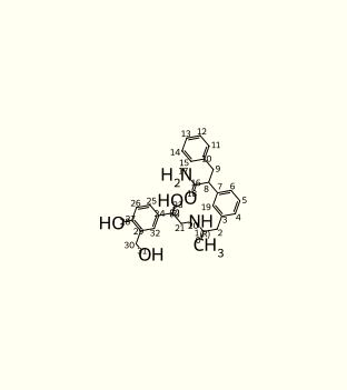 C[C@H](Cc1cccc(C(Cc2ccccc2)C(N)=O)c1)NC[C@H](O)c1ccc(O)c(CO)c1